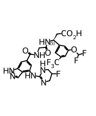 O=C(O)C[C@H](NC(=O)CNC(=O)c1cc(NC2=NCC(F)CN2)c2cn[nH]c2c1)c1cc(OC(F)F)cc(C(F)(F)F)c1